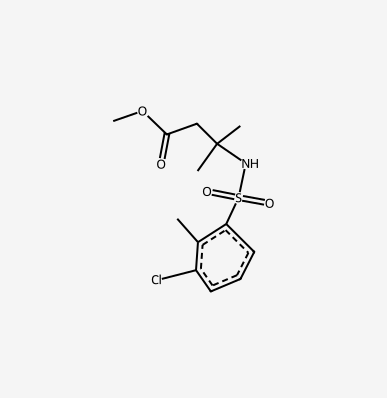 COC(=O)CC(C)(C)NS(=O)(=O)c1cccc(Cl)c1C